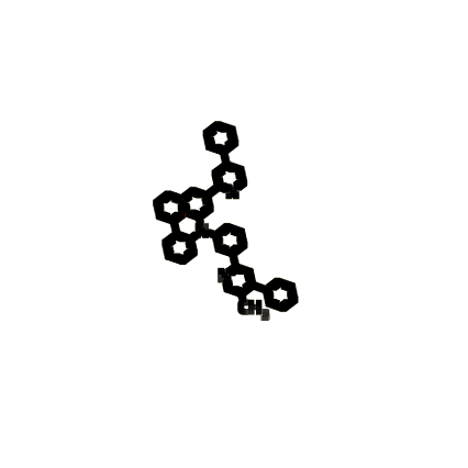 Cc1cnc(-c2cccc(N(c3cccc(-c4cc(-c5ccccc5)ccn4)c3)c3ccccc3-c3ccccc3)c2)cc1-c1ccccc1